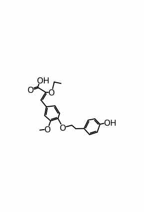 CCOC(=Cc1ccc(OCCc2ccc(O)cc2)c(OC)c1)C(=O)O